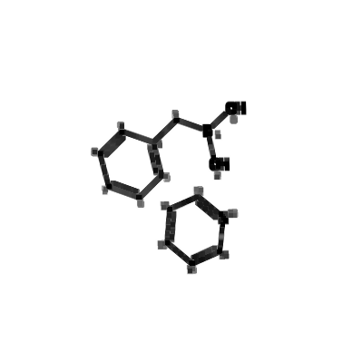 OB(O)Cc1ccccc1.c1ccncc1